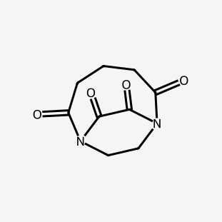 O=C1CCCC(=O)N2CCN1C(=O)C2=O